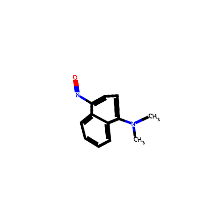 CN(C)c1ccc(N=O)c2ccccc12